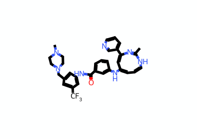 Cc1nc(-c2cccnc2)cc(Nc2cccc(C(=O)Nc3cc(CN4CCN(C)CC4)cc(C(F)(F)F)c3)c2)ccc[nH]1